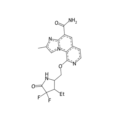 CCC1C(COc2nccc3cc(C(N)=O)c4nc(C)cn4c23)NC(=O)C1(F)F